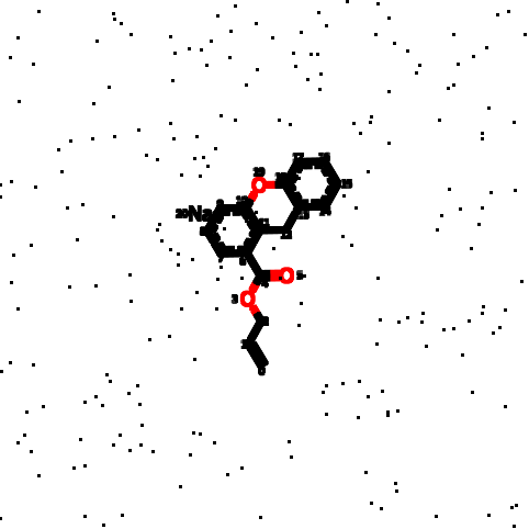 C=CCOC(=O)c1cccc2c1Cc1ccccc1O2.[Na]